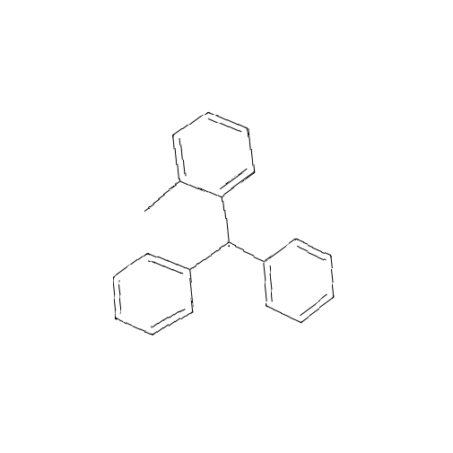 Cc1ccccc1[C](c1ccccc1)c1ccccc1